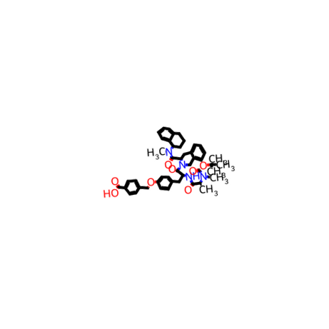 C[C@@H](C(=O)NC(Cc1ccc(OCc2ccc(C(=O)O)cc2)cc1)C(=O)N1Cc2ccccc2CC1C(=O)N(C)C1CCCc2ccccc21)N(C)C(=O)OC(C)(C)C